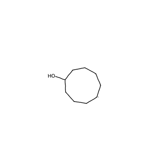 OC1CCC[CH]CCCC1